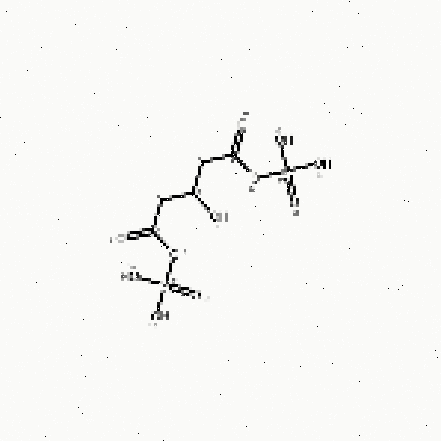 O=C(CC(O)CC(=O)OP(=O)(O)O)OP(=O)(O)O